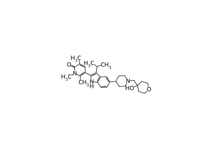 Cc1cc(-c2[nH]c3ccc(C4CCN(CC5(O)CCOCC5)CC4)cc3c2C(C)C)c(C)n(C)c1=O